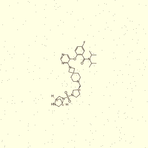 CC(C)N(C(=O)c1cc(F)ccc1Oc1cncnc1N1CC2(CCN(C[C@H]3CCN(S(=O)(=O)N4C[C@H]5C[C@@H]4CN5)C3)CC2)C1)C(C)C